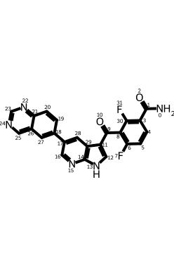 NC(=O)c1ccc(F)c(C(=O)c2c[nH]c3ncc(-c4ccc5ncncc5c4)cc23)c1F